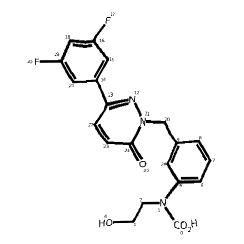 O=C(O)N(CCO)c1cccc(Cn2nc(-c3cc(F)cc(F)c3)ccc2=O)c1